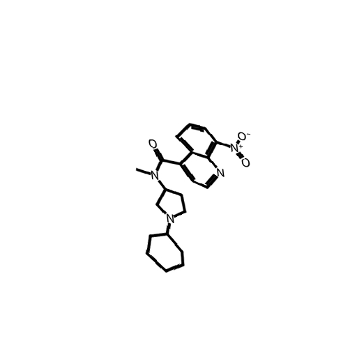 CN(C(=O)c1ccnc2c([N+](=O)[O-])cccc12)C1CCN(C2CCCCC2)C1